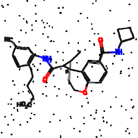 CC1C(C(=O)Nc2cc(C#N)ccc2CCCC(=O)O)[C@@]12CCOc1ccc(C(=O)NC3CCC3)cc12